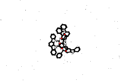 c1ccc(-c2cccc(-c3nc(-c4cccc(-c5ccccc5)n4)nc(-n4c5ccccc5c5ccc6c7ccccc7n(-c7cc(-c8ccc9sc%10ccccc%10c9c8)nc(-c8ccc9sc%10ccccc%10c9c8)c7)c6c54)n3)n2)cc1